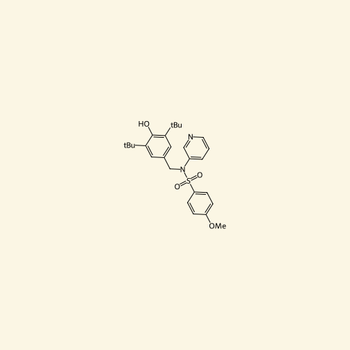 COc1ccc(S(=O)(=O)N(Cc2cc(C(C)(C)C)c(O)c(C(C)(C)C)c2)c2cccnc2)cc1